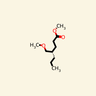 CCC[C@@H](CCC(=O)OC)COC